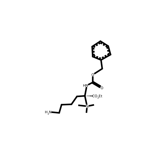 CCOC(=O)[C@](CCCCN)(NC(=O)OCc1ccccc1)[Si](C)(C)C